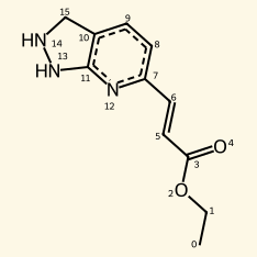 CCOC(=O)C=Cc1ccc2c(n1)NNC2